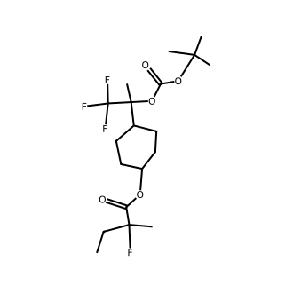 CCC(C)(F)C(=O)OC1CCC(C(C)(OC(=O)OC(C)(C)C)C(F)(F)F)CC1